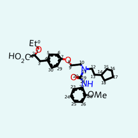 CCOC(Cc1ccc(OCCN(CCC2CCCC2)C(=O)Nc2ccccc2OC)cc1)C(=O)O